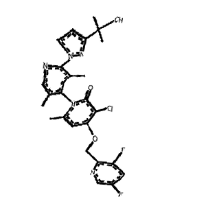 Cc1cnc(-n2ccc(C(C)(C)O)n2)c(C)c1-n1c(C)cc(OCc2ncc(F)cc2F)c(Cl)c1=O